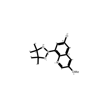 COc1cnc2c(B3OC(C)(C)C(C)(C)O3)cc(Cl)cc2c1